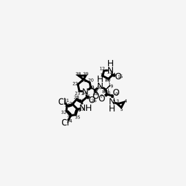 O=C(NC1CC1)C(=O)[C@H](C[C@@H]1CCNC1=O)NC(=O)[C@@H]1CC2(CCN1C(=O)c1cc3c(Cl)cc(Cl)cc3[nH]1)CC2